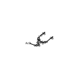 C=CC(=O)OCCCCCCOc1ccc(C(=O)Oc2cccc(-c3nc4cc(SCCOCCOC(=O)C=C)ccc4nc3-c3cccc(OC(=O)c4ccc(OCCCCCCOC(C)=O)cc4)c3)c2)cc1